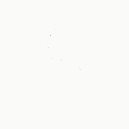 N#C[C@@H]1C[C@H](F)CN1C(=O)CN1CCC(Nc2ccc(F)c3cnccc23)CC1